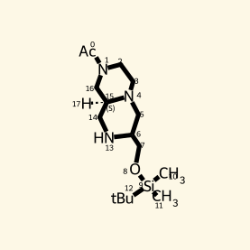 CC(=O)N1CCN2CC(CO[Si](C)(C)C(C)(C)C)NC[C@H]2C1